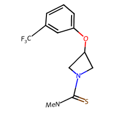 CNC(=S)N1CC(Oc2cccc(C(F)(F)F)c2)C1